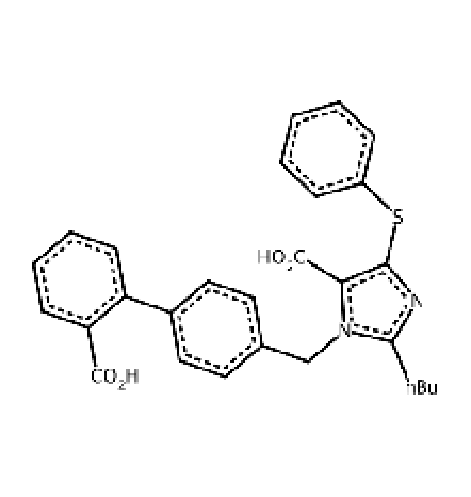 CCCCc1nc(Sc2ccccc2)c(C(=O)O)n1Cc1ccc(-c2ccccc2C(=O)O)cc1